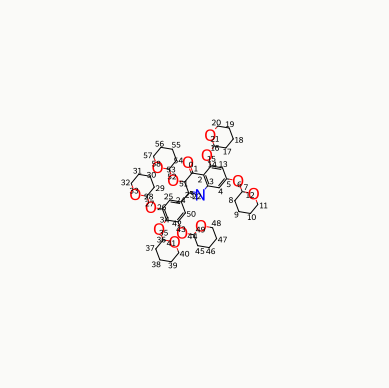 O=C1c2c(cc(OC3CCCCO3)cc2OC2CCCCO2)N=C(c2cc(OC3CCCCO3)c(OC3CCCCO3)c(OC3CCCCO3)c2)C1OC1CCCCO1